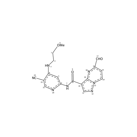 COCCNc1cc(NC(=O)c2cnn3ccc(C=O)nc23)ncc1C#N